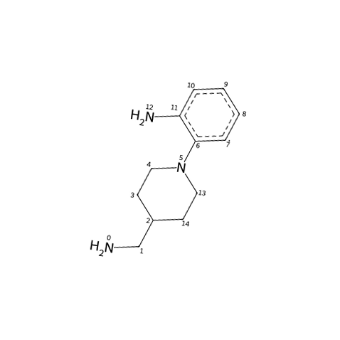 NCC1CCN(c2[c]cccc2N)CC1